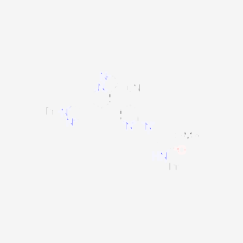 COC1(C(=O)NC(C)C)CCN(c2ccc(-c3cc(-c4cnn(C(C)C)c4)cn4ncc(C#N)c34)cn2)CC1